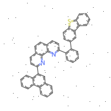 c1ccc(-c2ccc3ccc4ccc(-c5cc6ccccc6c6ccccc56)nc4c3n2)c(-c2ccc3sc4ccccc4c3c2)c1